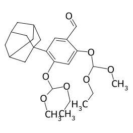 CCOC(OC)Oc1cc(OC(OC)OCC)c(C23CC4CC(CC(C4)C2)C3)cc1C=O